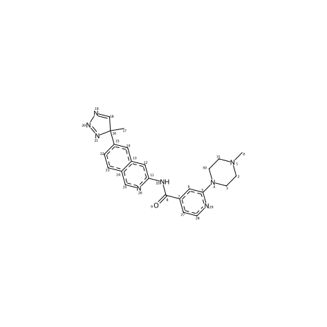 CN1CCN(c2cc(C(=O)Nc3cc4cc(C5(C)C=NN=N5)ccc4cn3)ccn2)CC1